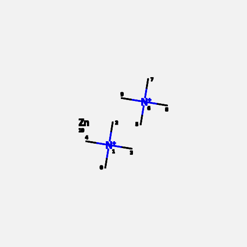 C[N+](C)(C)C.C[N+](C)(C)C.[Zn]